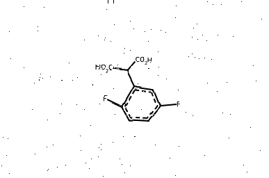 O=C(O)C(C(=O)O)c1cc(F)ccc1F